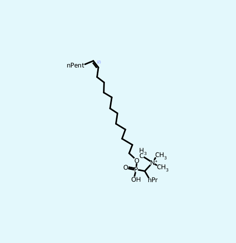 CCCCC/C=C\CCCCCCCCCCCOP(=O)(O)C(CCC)[N+](C)(C)C